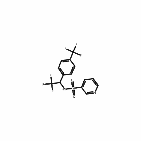 O=S(=O)(NC(c1ccc(C(F)(F)F)cc1)C(F)(F)F)c1cccnc1